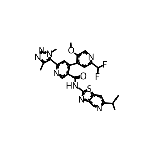 COc1cnc(C(F)F)cc1-c1cc(-c2c(C)nnn2C)ncc1C(=O)Nc1nc2cnc(C(C)C)cc2s1